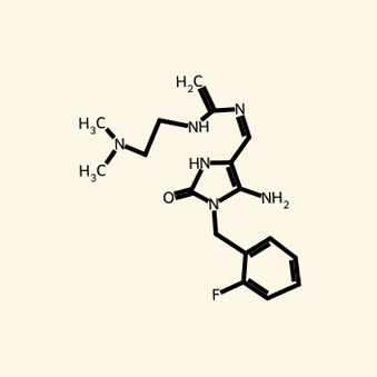 C=C(/N=C\c1[nH]c(=O)n(Cc2ccccc2F)c1N)NCCN(C)C